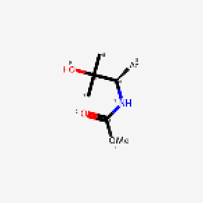 COC(=O)N[C@H](C(C)=O)C(C)(C)O